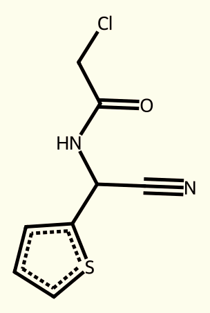 N#CC(NC(=O)CCl)c1cccs1